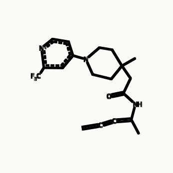 C=C=C=C(C)NC(=O)CC1(C)CCN(c2ccnc(C(F)(F)F)c2)CC1